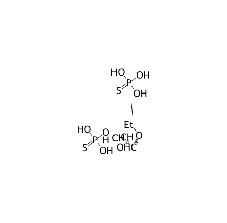 C.C.CC.CCOC=O.OP(O)(O)=S.OP(O)(O)=S